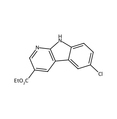 CCOC(=O)c1cnc2[nH]c3ccc(Cl)cc3c2c1